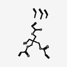 C=CC.C=CC.C=CC.C=CC(=O)OCC(CO)(COC(=O)C=C)COC(=O)C=C